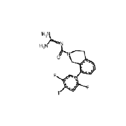 NC(N)=NC(=O)N1CCc2cccc(-c3cc(F)c(F)cc3F)c2C1